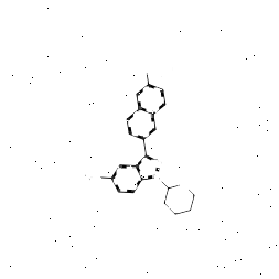 CCOC(=O)c1ccc2cc(-c3nn(C4CCCCO4)c4ccc(C#N)cc34)ccc2c1